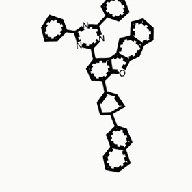 C1=CC(c2ccc3ccccc3c2)CC=C1c1ccc(-c2nc(-c3ccccc3)nc(-c3ccccc3)n2)c2c1oc1cc3ccccc3cc12